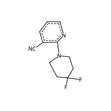 N#Cc1cccnc1N1CCC(F)(F)CC1